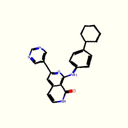 O=c1[nH]ccc2cc(-c3cncnc3)nc(Nc3ccc(C4CCCCC4)cc3)c12